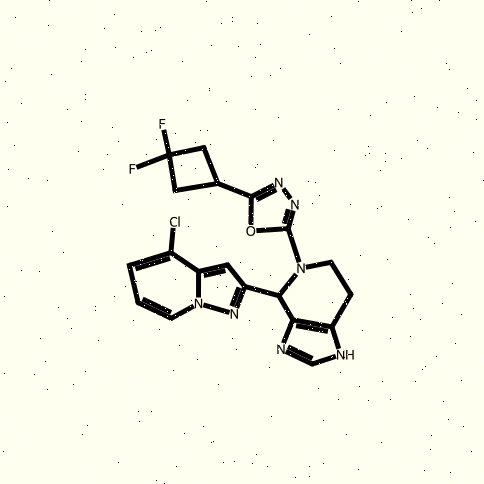 FC1(F)CC(c2nnc(N3CCc4[nH]cnc4C3c3cc4c(Cl)cccn4n3)o2)C1